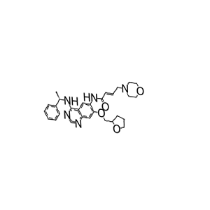 C[C@@H](Nc1ncnc2cc(OCC3CCCO3)c(NC(=O)/C=C/CN3CCOCC3)cc12)c1ccccc1